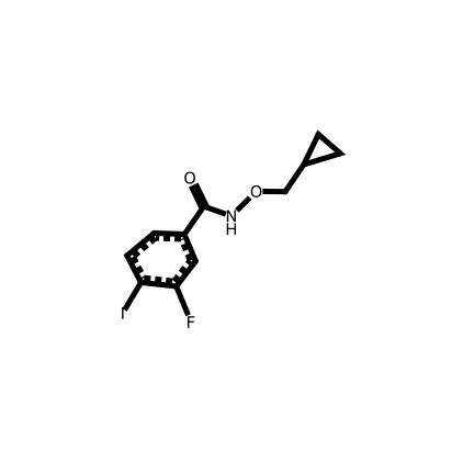 O=C(NOCC1CC1)c1ccc(I)c(F)c1